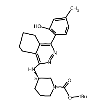 Cc1ccc(-c2nnc(N[C@@H]3CCCN(C(=O)OC(C)(C)C)C3)c3c2CCCC3)c(O)c1